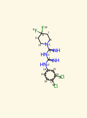 N=C(NC(=N)N1CCC(F)(F)CC1)Nc1ccc(Cl)c(Cl)c1